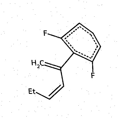 C=C(/C=C\CC)c1c(F)cccc1F